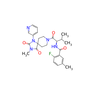 Cc1ccc(F)c(C(=O)N[C@@H](C(=O)N2CCC3(CC2)C(=O)N(C)C(=O)N3c2cccnc2)C(C)C)c1